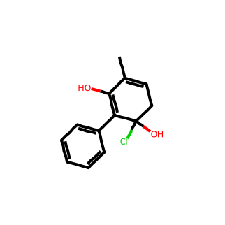 CC1=CCC(O)(Cl)C(c2ccccc2)=C1O